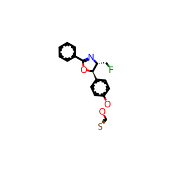 FC[C@H]1N=C(c2ccccc2)O[C@@H]1c1ccc(OOC=S)cc1